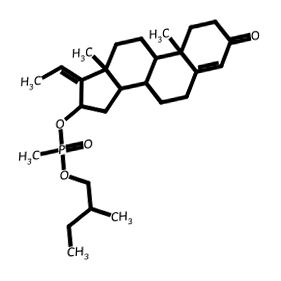 CC=C1C(OP(C)(=O)OCC(C)CC)CC2C3CCC4=CC(=O)CCC4(C)C3CCC12C